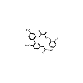 CCN(Cc1cc(C(F)(F)F)ccc1-c1cc(CC(=O)OC)ccc1OC)C(=O)OCc1ccccc1Cl